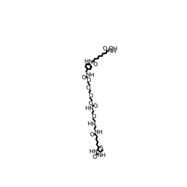 O=C(CCCCCCC(=O)Nc1ccc(CNC(=O)OCCOCCOCCOC(=O)NCCOCCNCCNC(=O)CCCCC2SCC3NC(=O)NC32)cc1)NO